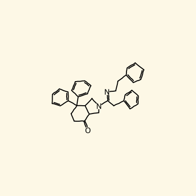 O=C1CCC(c2ccccc2)(c2ccccc2)C2CN(C(Cc3ccccc3)=NCCc3ccccc3)CC12